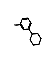 Fc1cccc(C2CC[CH]CC2)c1